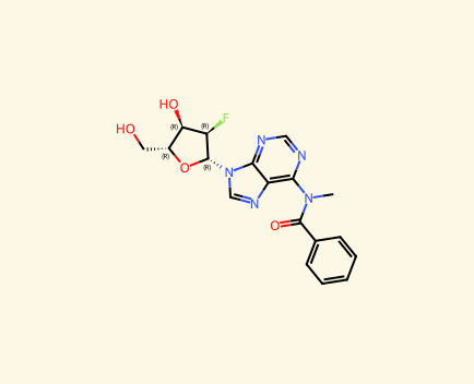 CN(C(=O)c1ccccc1)c1ncnc2c1ncn2[C@@H]1O[C@H](CO)[C@@H](O)[C@H]1F